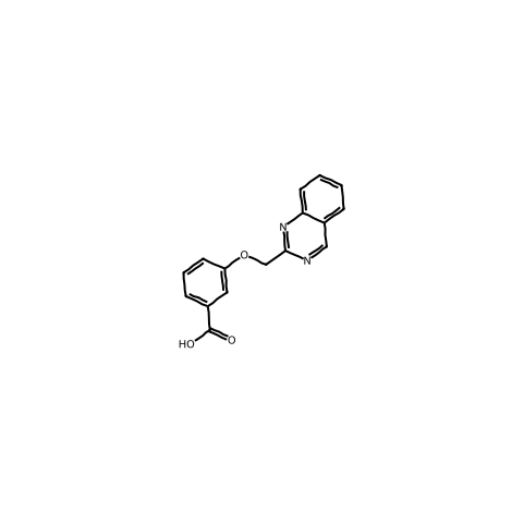 O=C(O)c1cccc(OCc2ncc3ccccc3n2)c1